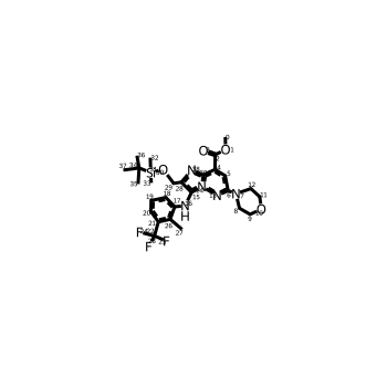 COC(=O)c1cc(N2CCOCC2)nn2c(Nc3cccc(C(F)(F)F)c3C)c(CO[Si](C)(C)C(C)(C)C)nc12